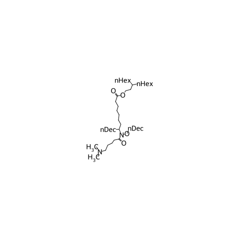 CCCCCCCCCCON(C(=O)CCCCN(C)C)C(CCCCCCCCCC)CCCCCCC(=O)OCCC(CCCCCC)CCCCCC